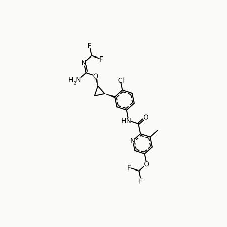 Cc1cc(OC(F)F)cnc1C(=O)Nc1ccc(Cl)c([C@H]2C[C@H]2O/C(N)=N\C(F)F)c1